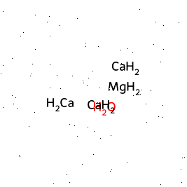 O.[CaH2].[CaH2].[CaH2].[MgH2]